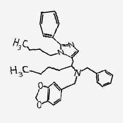 CCCCC(c1cnc(-c2ccccc2)n1CCCC)N(Cc1ccccc1)Cc1ccc2c(c1)OCO2